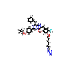 CC(C)(C)[Si](C)(C)Oc1ccc(C2=CN3C(=O)C(=Cc4ccc(OCCCCCCN=[N+]=[N-])c(F)c4)N=C3C(Cc3ccccc3)=N2)cc1